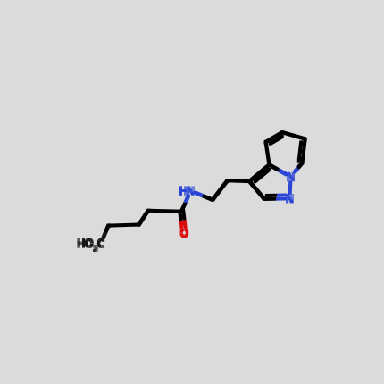 O=C(O)CCCC(=O)NCCc1cnn2ccccc12